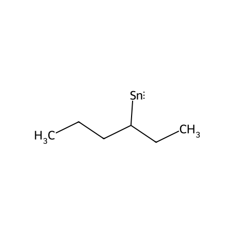 CCC[CH]([Sn])CC